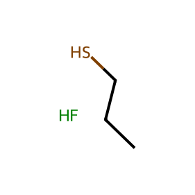 CCCS.F